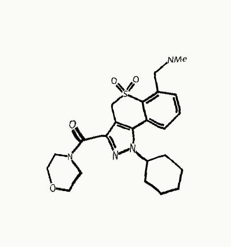 CNCc1cccc2c1S(=O)(=O)Cc1c(C(=O)N3CCOCC3)nn(C3CCCCC3)c1-2